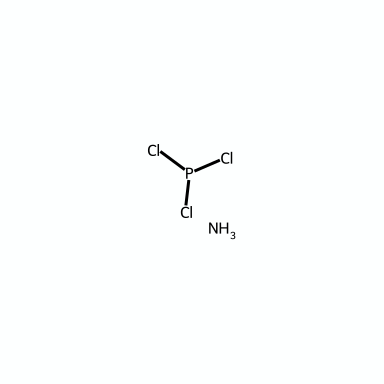 ClP(Cl)Cl.N